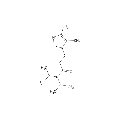 Cc1n[c]n(CCC(=O)N(C(C)C)C(C)C)c1C